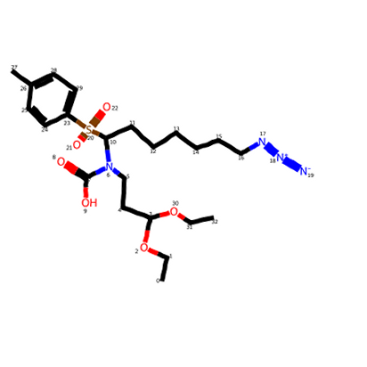 CCOC(CCN(C(=O)O)C(CCCCCCN=[N+]=[N-])S(=O)(=O)c1ccc(C)cc1)OCC